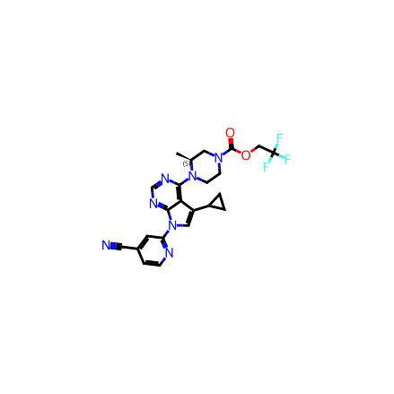 C[C@H]1CN(C(=O)OCC(F)(F)F)CCN1c1ncnc2c1c(C1CC1)cn2-c1cc(C#N)ccn1